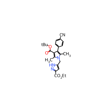 CCOC(=O)c1cc(Cn2c(C)c(C(=O)OC(C)(C)C)c(-c3ccc(C#N)cc3)c2C)[nH]n1